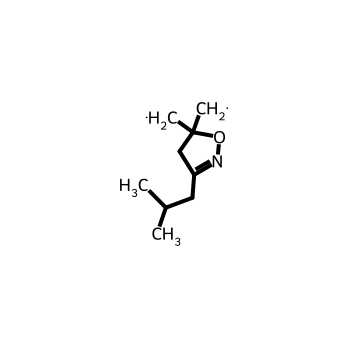 [CH2]C1([CH2])CC(CC(C)C)=NO1